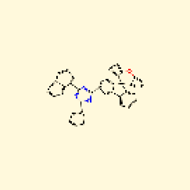 c1ccc(-c2nc(-c3ccc4c(c3)-c3ccccc3C43c4ccccc4Oc4ccccc43)nc(-c3cccc4ccccc34)n2)cc1